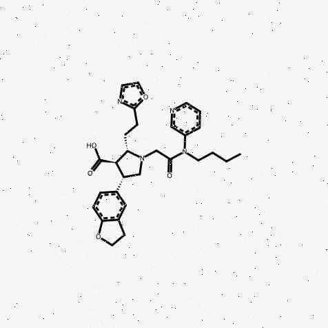 CCCCN(C(=O)CN1C[C@H](c2ccc3c(c2)CCO3)[C@@H](C(=O)O)[C@@H]1CCc1ncco1)c1cccnc1